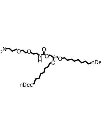 CCCCCCCCCCCCCCCCCCOC[C@H](COC(=O)NCCOCCOCCCN)OCCCCCCCCCCCCCCCCCC